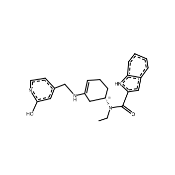 CCN(C(=O)c1cc2ccccc2[nH]1)[C@H]1CCC=C(NCc2ccnc(O)c2)C1